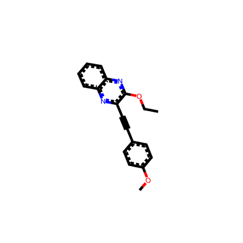 CCOc1nc2ccccc2nc1C#Cc1ccc(OC)cc1